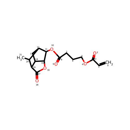 C=CC(=O)OCCCC(=O)OC1C2CC3C1OC(=O)C3C2C